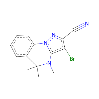 CN1c2c(Br)c(C#N)nn2-c2ccccc2C1(C)C